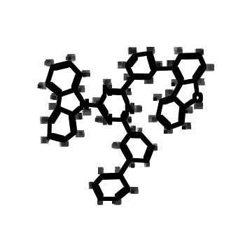 c1ccc(-c2cccc(-c3nc(-c4cccc(-c5cccc6oc7ccccc7c56)c4)nc(-n4c5ccccc5c5ccccc54)n3)c2)cc1